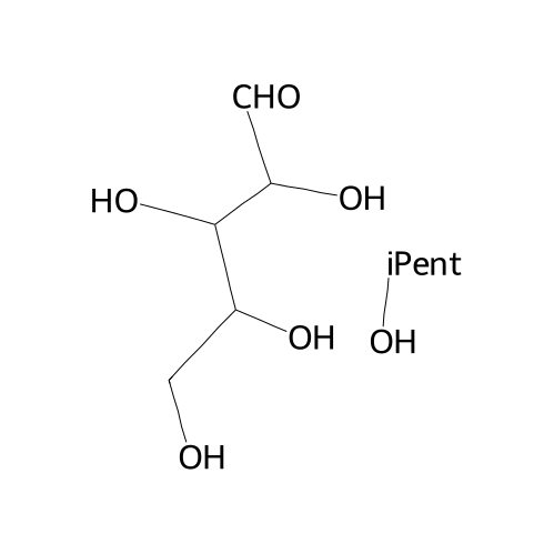 CCCC(C)O.O=CC(O)C(O)C(O)CO